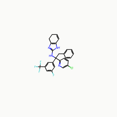 Fc1cc(C(F)(F)F)cc(C(Cc2ccccc2)(Nc2nc3c([nH]2)C=CCC3)c2ccc(Cl)cn2)c1